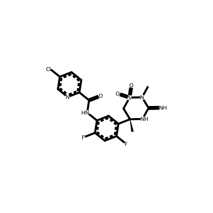 CN1C(=N)N[C@](C)(c2cc(NC(=O)c3ccc(Cl)cn3)c(F)cc2F)CS1(=O)=O